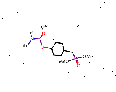 CCCOP(OC1CCC(CP(=O)(OC)OC)CC1)N(C(C)C)C(C)C